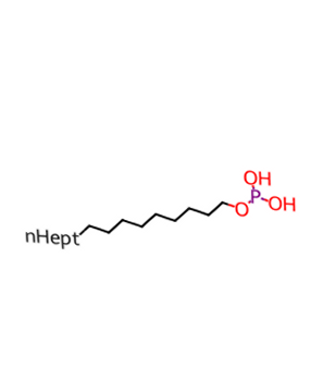 CCCCCCCCCCCCCCCCOP(O)O